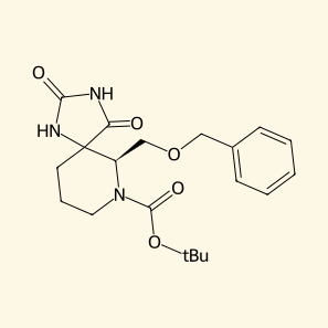 CC(C)(C)OC(=O)N1CCCC2(NC(=O)NC2=O)[C@H]1COCc1ccccc1